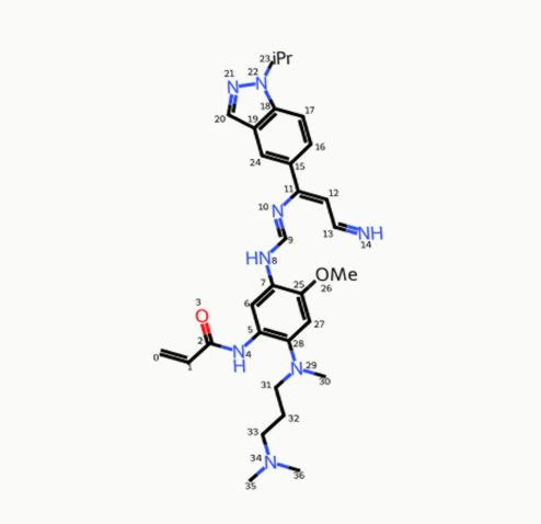 C=CC(=O)Nc1cc(N/C=N/C(=C\C=N)c2ccc3c(cnn3C(C)C)c2)c(OC)cc1N(C)CCCN(C)C